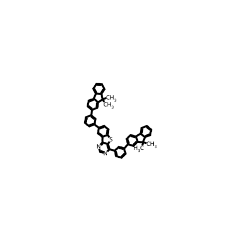 CC1(C)c2ccccc2-c2ccc(-c3cccc(-c4ccc5sc6c(-c7cccc(-c8ccc9c(c8)C(C)(C)c8ccccc8-9)c7)ncnc6c5c4)c3)cc21